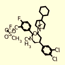 CN(C[C@@H](CC[N+]12CCC(C3CCCCC3)(CC1)CC2)c1ccc(Cl)c(Cl)c1)C(=O)c1ccc(F)c(C(F)(F)F)c1.CS(=O)(=O)[O-]